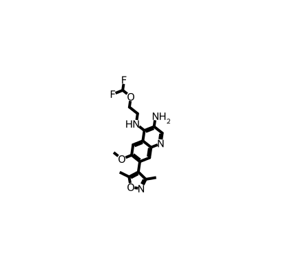 COc1cc2c(NCCOC(F)F)c(N)cnc2cc1-c1c(C)noc1C